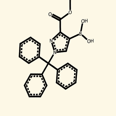 COC(=O)c1nn(C(c2ccccc2)(c2ccccc2)c2ccccc2)cc1B(O)O